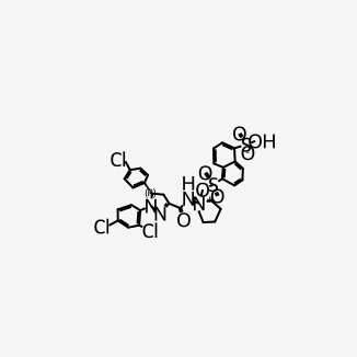 O=C(N[N+]1(OS(=O)(=O)c2cccc3c(S(=O)(=O)O)cccc23)CCCCC1)C1=NN(c2ccc(Cl)cc2Cl)[C@@H](c2ccc(Cl)cc2)C1